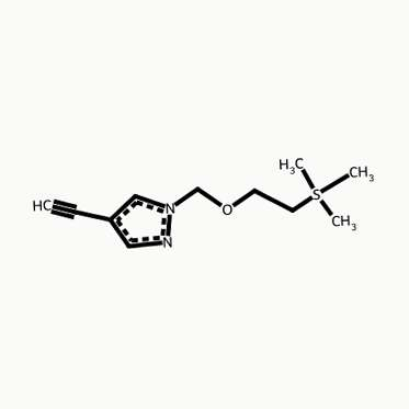 C#Cc1cnn(COCCS(C)(C)C)c1